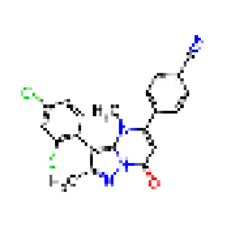 Cc1nn2c(=O)cc(-c3ccc(C#N)cc3)n(C)c2c1-c1ccc(Cl)cc1Cl